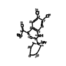 CCCC1(C(=O)Nc2cc(Cl)c(Cl)cc2SC(=O)C(C)(C)C)CCCCC1